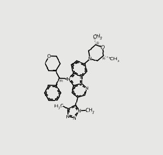 Cc1nnn(C)c1-c1cnc2c3cc(N4C[C@@H](C)O[C@@H](C)C4)ccc3n([C@@H](c3ccccc3)C3CCOCC3)c2c1